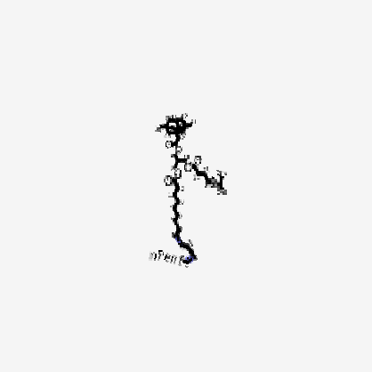 CCCCC/C=C\C/C=C\CCCCCCCC(=O)OCC(COC(=O)CCCN(C)C)COC(=O)CC12CC3CC(C)(CC(C)(C3)C1)C2